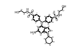 Nc1nc(N(c2ccc(S(=O)(=O)NCCO)cc2)c2ccc(S(=O)(=O)NCCO)cc2)c2cnn(C3CCCCC3)c2n1